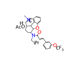 CC(=O)O[C@@]12CCC(N(CC(C)C)C(=O)/C=C/c3cccc(OC(F)(F)F)c3)C3Oc4cccc5c4[C@@]31CCN(C)[C@@H]2C5